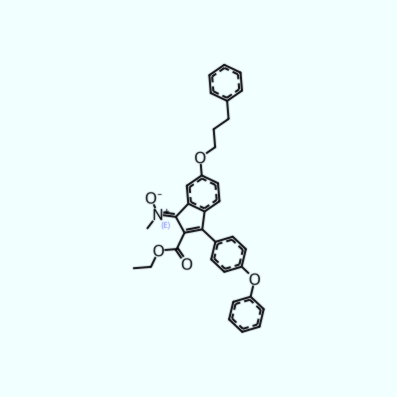 CCOC(=O)C1=C(c2ccc(Oc3ccccc3)cc2)c2ccc(OCCCc3ccccc3)cc2/C1=[N+](/C)[O-]